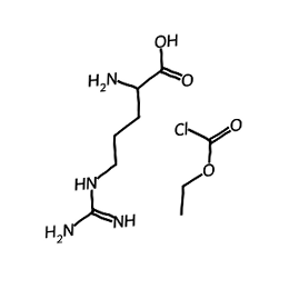 CCOC(=O)Cl.N=C(N)NCCCC(N)C(=O)O